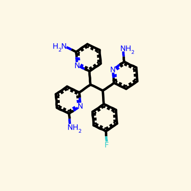 Nc1cccc(C(c2ccc(F)cc2)C(c2cccc(N)n2)c2cccc(N)n2)n1